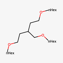 CCCCCCOCC[C](CCOCCCCCC)COCCCCCC